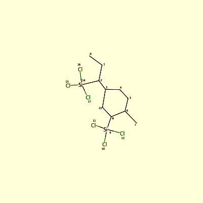 CCC(C1CCC(C)C([Si](Cl)(Cl)Cl)C1)[Si](Cl)(Cl)Cl